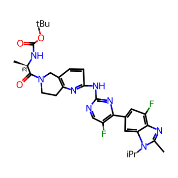 Cc1nc2c(F)cc(-c3nc(Nc4ccc5c(n4)CCN(C(=O)[C@@H](C)NC(=O)OC(C)(C)C)C5)ncc3F)cc2n1C(C)C